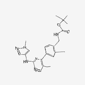 Cc1cc(-c2nc(Nc3cnn(C)c3)ncc2C)ccc1CNC(=O)OC(C)(C)C